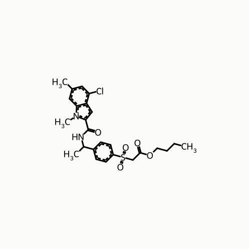 CCCCOC(=O)CS(=O)(=O)c1ccc(C(C)NC(=O)c2cc3c(Cl)cc(C)cc3n2C)cc1